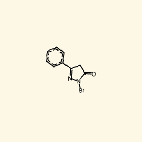 O=C1CC(c2ccccc2)=NN1Br